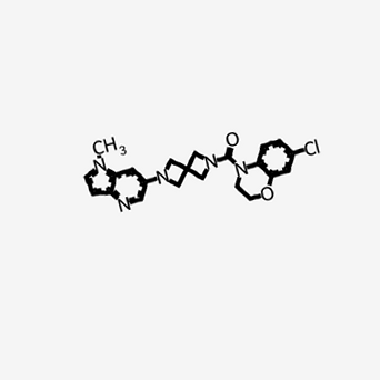 Cn1ccc2ncc(N3CC4(CN(C(=O)N5CCOc6cc(Cl)ccc65)C4)C3)cc21